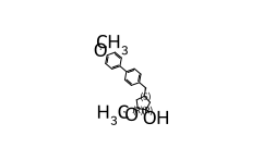 COc1ccc(-c2ccc(C[C@H]3C[C@@H](O)[C@H](OC)C3)cc2)cc1